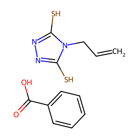 C=CCn1c(S)nnc1S.O=C(O)c1ccccc1